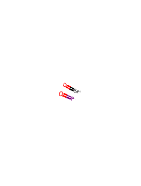 O=[P].[O]=[Sn]